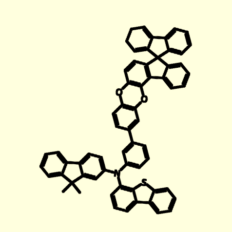 CC1(C)c2ccccc2-c2ccc(N(c3cccc(-c4ccc5c(c4)Oc4c(ccc6c4-c4ccccc4C64C6=CCCC=C6c6ccccc64)O5)c3)c3cccc4c3sc3ccccc34)cc21